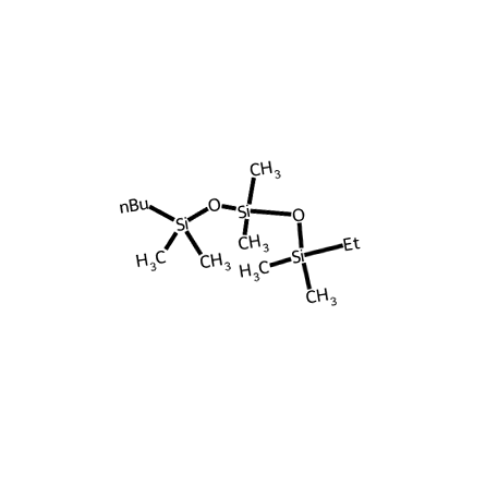 CCCC[Si](C)(C)O[Si](C)(C)O[Si](C)(C)CC